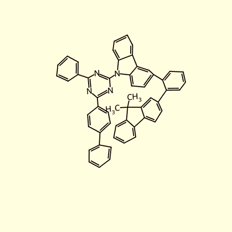 CC1(C)c2ccccc2-c2ccc(-c3ccccc3-c3ccc4c(c3)c3ccccc3n4-c3nc(-c4ccccc4)nc(-c4ccc(-c5ccccc5)cc4)n3)cc21